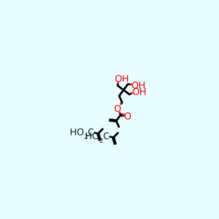 C=C(C)C(=O)O.C=C(C)C(=O)O.C=C(C)C(=O)OCCC(CO)(CO)CO